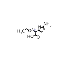 CCO/N=C(\C(=O)O)c1csc(N)n1